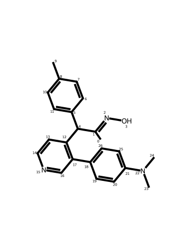 CC(=NO)C(c1ccc(C)cc1)c1ccncc1-c1ccc(N(C)C)cc1